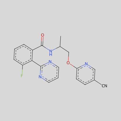 CC(COc1ccc(C#N)cn1)NC(=O)c1cccc(F)c1-c1ncccn1